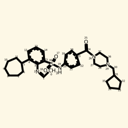 C/C=N\c1c(C2CCCCCC2)cccc1S(=O)(=O)Nc1ccc(C(=O)N2CCN(CC3CCCC3)CC2)cc1